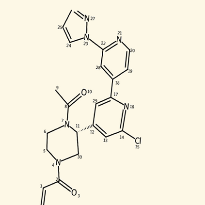 C=CC(=O)N1CCN(C(C)=O)[C@H](c2cc(Cl)nc(-c3ccnc(-n4cccn4)c3)c2)C1